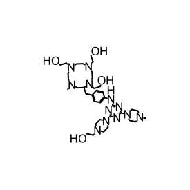 CN1CCN(c2nc(Nc3ccc(CC4CN(C)CCN(CCO)CCN(CCO)CCN4CCO)cc3)nc(N3CCN(CCO)CC3)n2)CC1